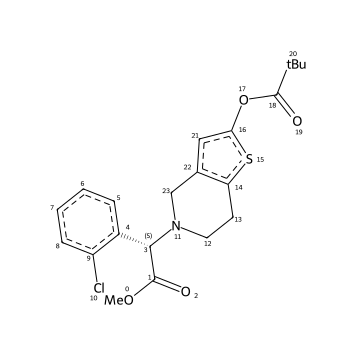 COC(=O)[C@H](c1ccccc1Cl)N1CCc2sc(OC(=O)C(C)(C)C)cc2C1